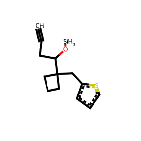 C#CCC(O[SiH3])C1(Cc2cccs2)CCC1